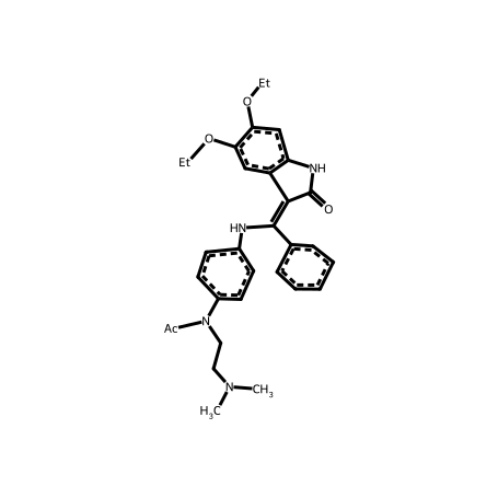 CCOc1cc2c(cc1OCC)C(=C(Nc1ccc(N(CCN(C)C)C(C)=O)cc1)c1ccccc1)C(=O)N2